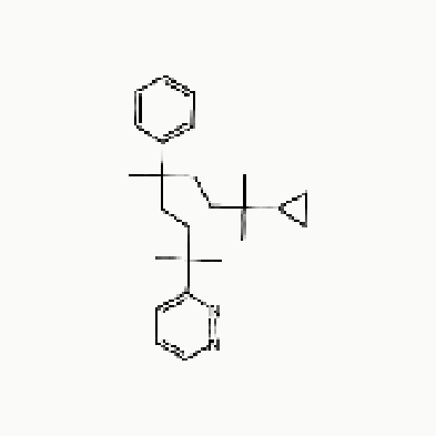 CC(C)(CCC(C)(CCC(C)(C)C1CC1)c1ccccc1)c1cccnn1